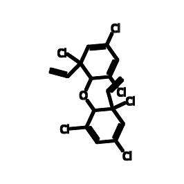 C=CC1(Cl)C=C(Cl)C=C(Cl)C1OC1C(Cl)=CC(Cl)=CC1(Cl)C=C